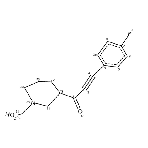 O=C(C#Cc1ccc(F)cc1)C1CCCN(C(=O)O)C1